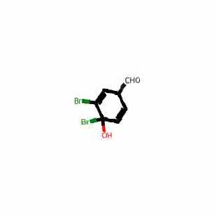 O=CC1C=CC(O)(Br)C(Br)=C1